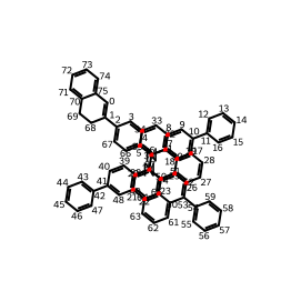 C1=C(c2ccc(N(c3ccc(-c4ccccc4)cc3)c3ccccc3-c3ccccc3-c3ccccc3N(c3ccc(-c4ccccc4)cc3)c3ccc(-c4ccccc4)c4ccccc34)cc2)CCc2ccccc21